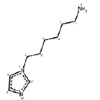 NCCCCCCn1ccnc1